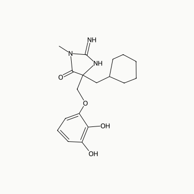 CN1C(=N)NC(COc2cccc(O)c2O)(CC2CCCCC2)C1=O